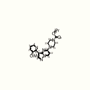 COc1cccnc1-c1cnn2ccc(N3CCN(C(=O)OC(C)C)CC3)nc12